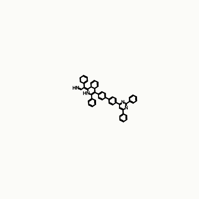 N=C/C(C1=CC=CCC1)=C1\NC(c2ccccc2)=C(c2ccc(-c3ccc(-c4cc(-c5ccccc5)nc(-c5ccccc5)n4)cc3)cc2)C2C=CC=CC12